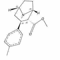 COC(=O)[C@@H]1[C@@H](c2ccc(C)cc2)C[C@@H]2CC[C@H]1N2C